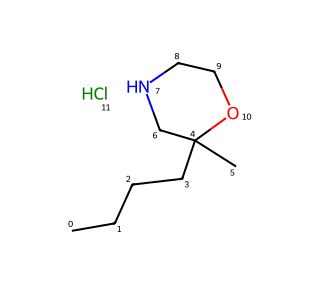 CCCCC1(C)CNCCO1.Cl